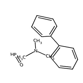 CN(C)C.O=P.c1ccc(-c2ccccc2)cc1